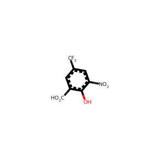 O=C(O)c1cc(C(F)(F)F)cc([N+](=O)[O-])c1O